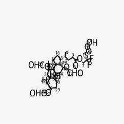 CC(CCC(=O)OCC(F)(F)SOOO)[C@H]1CC[C@H]2[C@@H]3[C@H](OC=O)C[C@@H]4C[C@H](OC=O)CC[C@]4(C)[C@H]3C[C@H](OC=O)[C@]12C